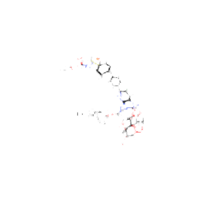 CC(C)(C)OC(=O)N=S(C)(=O)c1ccc(-c2ccc(-c3nc4c(cc3Cl)nc(O[C@@H]3CO[C@H]5[C@@H]3OC[C@H]5O)n4COCC[Si](C)(C)C)cc2)cc1